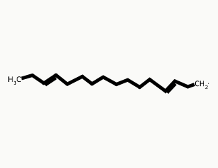 [CH2]CC=CCCCCCCCCC=CCC